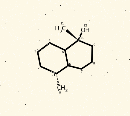 C[C@@H]1CCCC2C1CCC[C@@]2(C)O